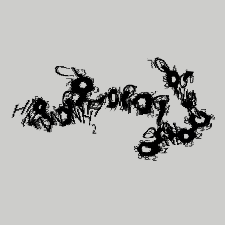 CCOc1cc(OC)ccc1CNCC(=O)N1CCCC(c2cccc(C(=O)N[C@@H](C(=O)NCCOC3CCN(CC(=O)N4CCN(CC[C@H](NC(=O)C5(N)CCN(c6ncnc7[nH]ccc67)CC5)c5ccc(Cl)cc5)CC4)CC3)C3CCCCC3)c2)C1